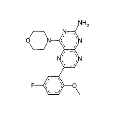 COc1ccc(F)cc1-c1cnc2nc(N)nc(N3CCOCC3)c2n1